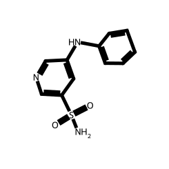 NS(=O)(=O)c1cncc(Nc2ccccc2)c1